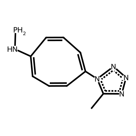 Cc1nnnn1C1=C/C=C\C(NP)=C/C=C\1